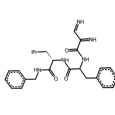 CC(C)C[C@H](NC(=O)C(Cc1ccccc1)NC(=O)C(=N)C=N)C(=O)NCc1ccccc1